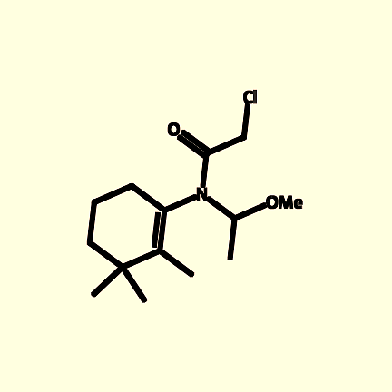 COC(C)N(C(=O)CCl)C1=C(C)C(C)(C)CCC1